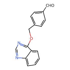 O=Cc1ccc(COc2ncnc3ccccc23)cc1